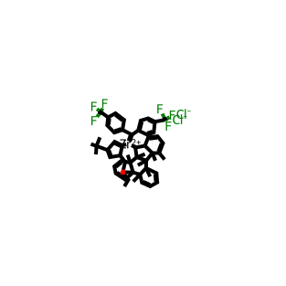 CCCCC1C=C(C(C)(C)C)C=[C]1[Zr+2](=[C](c1ccc(C(F)(F)F)cc1)c1ccc(C(F)(F)F)cc1)[CH]1C2C=CC=C(C)C2(C)C2(C)C3(C)C=CC=CC3(C)C3(C)C=CC=CC3(C)C12C.[Cl-].[Cl-]